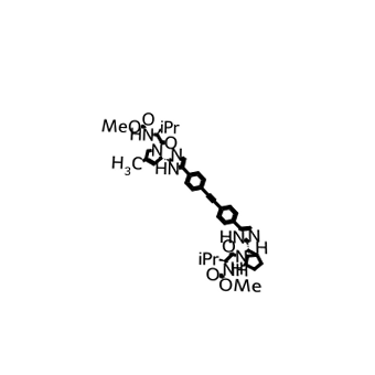 COC(=O)N[C@H](C(=O)N1CC(C)=C[C@H]1c1ncc(-c2ccc(C#Cc3ccc(-c4cnc([C@@H]5[C@@H]6CC[C@@H](C6)N5C(=O)[C@@H](NC(=O)OC)C(C)C)[nH]4)cc3)cc2)[nH]1)C(C)C